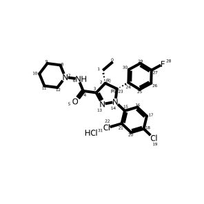 CC[C@H]1C(C(=O)NN2CCCCC2)=NN(c2ccc(Cl)cc2Cl)[C@H]1c1ccc(F)cc1.Cl